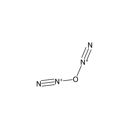 N#[N+]O[N+]#N